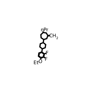 C=C1CC(CCC)CCC(C2CCC(c3ccc(OCC)c(F)c3F)CC2)C1